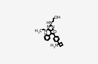 CCNc1nc(NCCO)nc2oc(-c3ccc(C4(N)CCC4)cc3)c(-c3ccccc3)c12